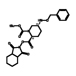 CC(C)(C)OC(=O)N1C[C@H](NOCc2ccccc2)CC[C@H]1C(=O)ON1C(=O)C2CCCCC2C1=O